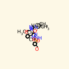 COCCn1cc(N(C)[C@@H](COc2cc(-c3c(C)cccc3C)nc(NS(=O)(=O)c3cccc(C=O)c3)n2)CC(C)(C)C)cn1